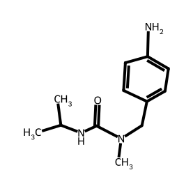 CC(C)NC(=O)N(C)Cc1ccc(N)cc1